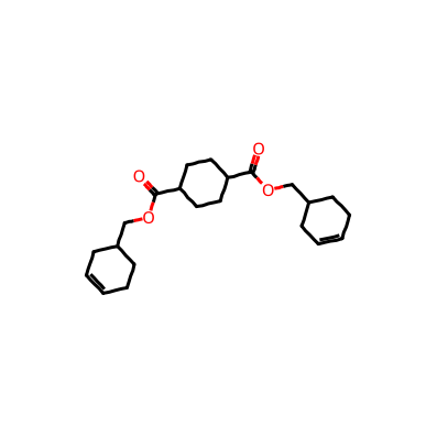 O=C(OCC1CC=CCC1)C1CCC(C(=O)OCC2CC=CCC2)CC1